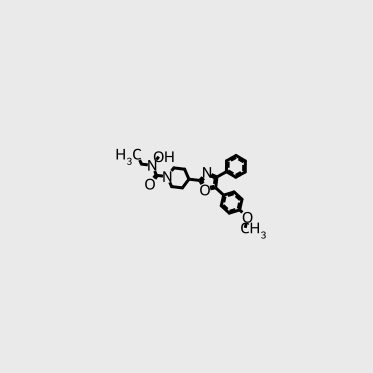 CCN(O)C(=O)N1CCC(c2nc(-c3ccccc3)c(-c3ccc(OC)cc3)o2)CC1